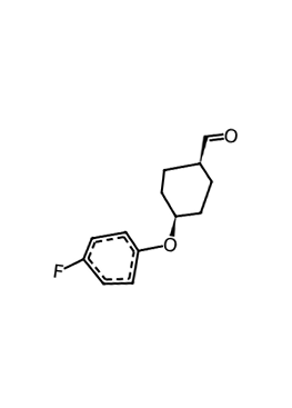 O=C[C@H]1CC[C@@H](Oc2ccc(F)cc2)CC1